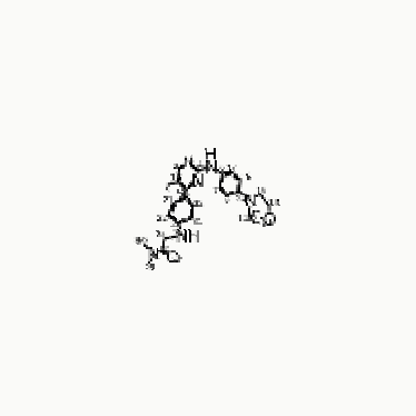 Cc1cnc(Nc2ccc(N3CCOCC3)cc2)nc1-c1ccc(NCC(=O)N(C)C)cc1